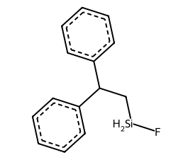 F[SiH2]CC(c1ccccc1)c1ccccc1